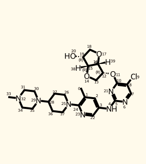 Cc1cc(Nc2ncc(Cl)c(O[C@@H]3CO[C@H]4[C@@H]3OC[C@H]4O)n2)cnc1N1CCC(N2CCN(C)CC2)CC1